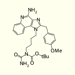 COc1ccc(Cc2nc3c(N)nc4ccccc4c3n2CCCCN(C(N)=O)C(=O)OC(C)(C)C)cc1